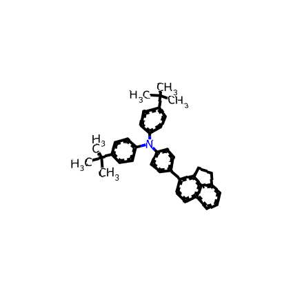 CC(C)(C)c1ccc(N(c2ccc(-c3ccc4cccc5c4c3CC5)cc2)c2ccc(C(C)(C)C)cc2)cc1